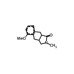 COc1cccc2c1CC1CN(C)C(=O)C1C2